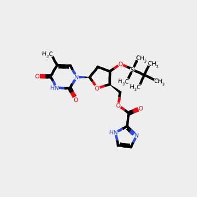 Cc1cn([C@H]2CC(O[Si](C)(C)C(C)(C)C)[C@@H](COC(=O)c3ncc[nH]3)O2)c(=O)[nH]c1=O